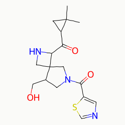 CC1(C)CC1C(=O)C1NCC12CN(C(=O)c1cncs1)CC2CO